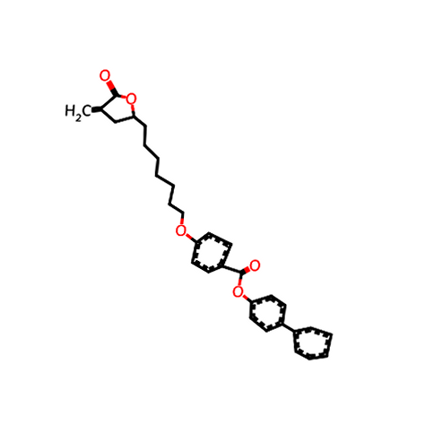 C=C1CC(CCCCCCCOc2ccc(C(=O)Oc3ccc(-c4ccccc4)cc3)cc2)OC1=O